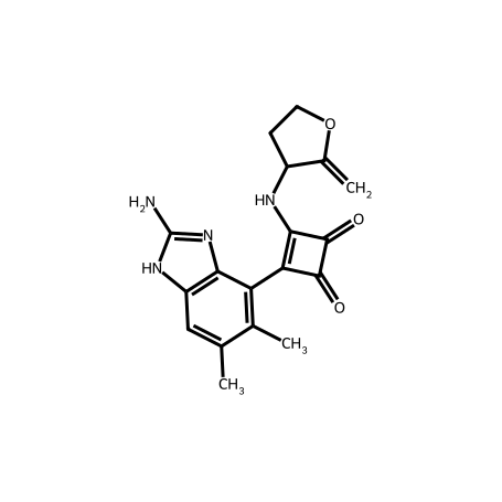 C=C1OCCC1Nc1c(-c2c(C)c(C)cc3[nH]c(N)nc23)c(=O)c1=O